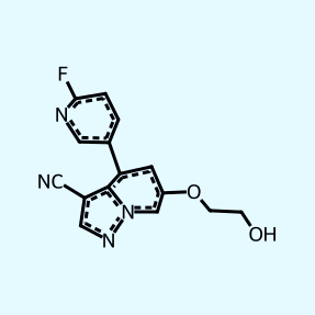 N#Cc1cnn2cc(OCCO)cc(-c3ccc(F)nc3)c12